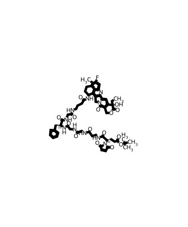 CC[C@@]1(O)C(=O)OCc2c1cc1n(c2=O)Cc2c-1nc1cc(F)c(C)c3c1c2C(NC(=O)CCCNC(=O)CNC(=O)[C@H](Cc1ccccc1)NC(=O)CNC(=O)CNC(=O)CCNC(=O)[C@H](CCC(=O)OC(C)(C)C)N1C(=O)C=CC1=O)CC3